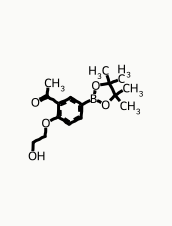 CC(=O)c1cc(B2OC(C)(C)C(C)(C)O2)ccc1OCCO